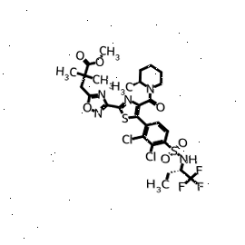 CC[C@H](NS(=O)(=O)c1ccc(-c2sc(-c3noc(CC(C)(C)C(=O)OC)n3)nc2C(=O)N2CCCC[C@@H]2C)c(Cl)c1Cl)C(F)(F)F